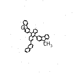 CC1c2ccccc2-c2cc(-c3c4ccccc4c(-c4ccc5oc6ccccc6c5c4)c4ccc(-c5ccc6ccccc6c5)cc34)ccc21